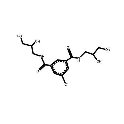 O=C(NCC(O)CO)c1cc(Cl)cc(C(=O)NCC(O)CO)c1